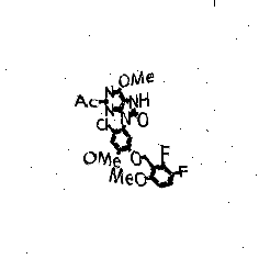 COc1cc(Cl)c(-n2c(=O)[nH]c3c(OC)nc(C(C)=O)nc32)cc1OCc1c(OC)ccc(F)c1F